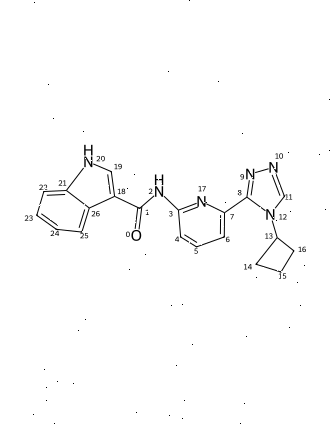 O=C(Nc1cccc(-c2nncn2C2CCC2)n1)c1c[nH]c2ccccc12